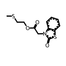 CSCCOC(=O)Cn1c(=O)sc2ccccc21